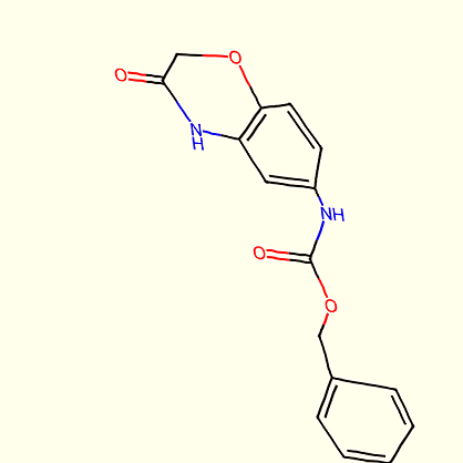 O=C1COc2ccc(NC(=O)OCc3ccccc3)cc2N1